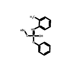 CCCCOP(O)(Oc1ccccc1)=[SH]c1ccccc1C